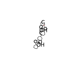 O=C(O)c1c(C2CCCCCCC2)cccc1C1CCCC(C2CCCC(c3cccc(C4CCCCCC4)c3C(=O)O)CC2)CCC1